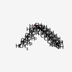 CC(=O)O.CCC(=O)O.CCCC(=O)O.CCCCN(CCO)CCO.CCCCN(CCO)CCO.CCCCN(CCO)CCO.CCCCN(CCO)CCO.CCCCN(CCO)CCO.CCCCN(CCO)CCO.CCCCN(CCO)CCO.CCCCN(CCO)CCO.I.O=C(O)CC(=O)O.O=CO